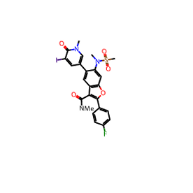 CNC(=O)c1c(-c2ccc(F)cc2)oc2cc(N(C)S(C)(=O)=O)c(-c3cc(I)c(=O)n(C)c3)cc12